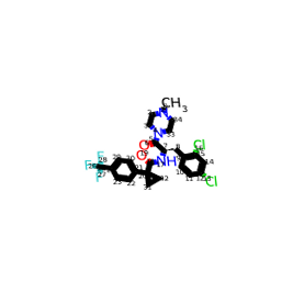 CN1CCN(C(=O)[C@H](Cc2ccc(Cl)cc2Cl)NC(=O)C2(c3ccc(C(F)(F)F)cc3)CC2)CC1